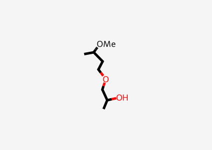 COC(C)CCOCC(C)O